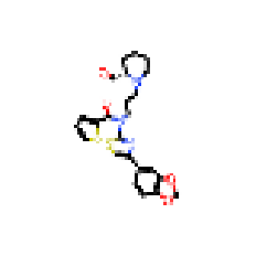 O=C[C@@H]1CCCCN1CCCN(C(=O)c1cccs1)c1nc(-c2ccc3c(c2)OCO3)cs1